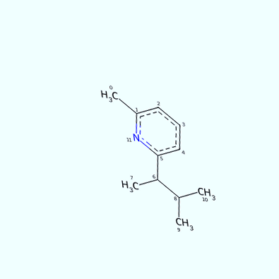 Cc1cccc(C(C)C(C)C)n1